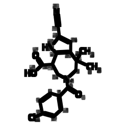 CC1(C)CN(C(=O)c2ccc(Cl)cc2)CC(C(=O)O)c2[nH]c(C#N)cc21